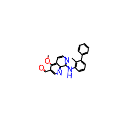 COc1c(C=O)cnc2c(Nc3cccc(-c4ccccc4)c3C)nccc12